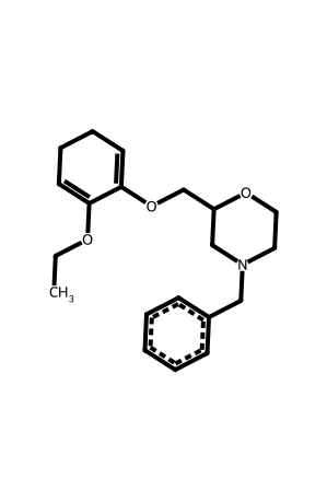 CCOC1=CCCC=C1OCC1CN(Cc2ccccc2)CCO1